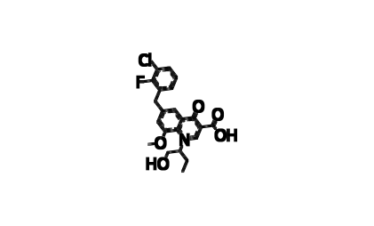 CCC(CO)n1cc(C(=O)O)c(=O)c2cc(Cc3cccc(Cl)c3F)cc(OC)c21